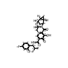 O=C(N[C@@H](c1ccc(F)cc1F)C(F)F)c1cn2c(c(O)c1=O)C(=O)N1C3C[C@@H](O[C@H]1C2)[C@@H]1C[C@H]31